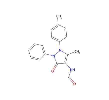 Cc1ccc(-n2c(C)c(NC=O)c(=O)n2-c2ccccc2)cc1